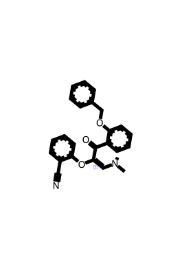 CN(C)/C=C(/Oc1ccccc1C#N)C(=O)c1ccccc1OCc1ccccc1